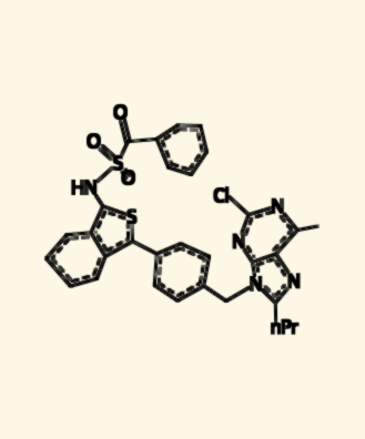 CCCc1nc2c(C)nc(Cl)nc2n1Cc1ccc(-c2sc(NS(=O)(=O)C(=O)c3ccccc3)c3ccccc23)cc1